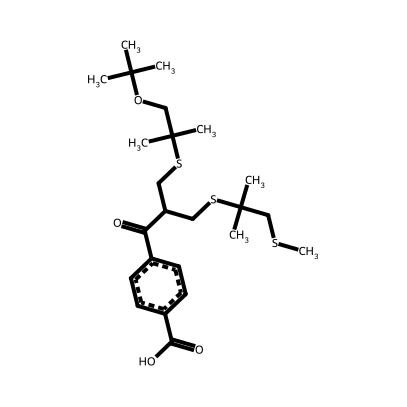 CSCC(C)(C)SCC(CSC(C)(C)COC(C)(C)C)C(=O)c1ccc(C(=O)O)cc1